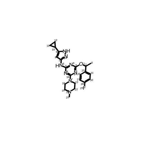 CC(Oc1nc(Nc2cc(C3CC3)[nH]n2)nc(N2CCN(C)CC2)n1)c1ccc(F)cc1